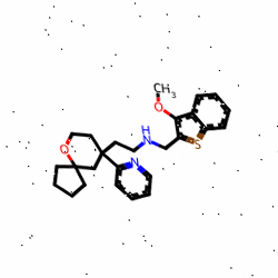 COc1c(CNCCC2(c3ccccn3)CCOC3(CCCC3)C2)sc2ccccc12